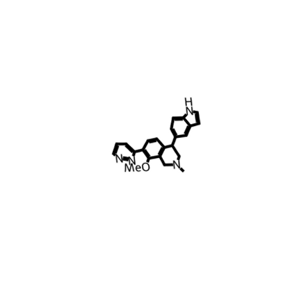 COc1c(-c2cccnn2)ccc2c1CN(C)CC2c1ccc2[nH]ccc2c1